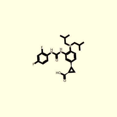 CC(C)CN(CC(C)C)c1ccc([C@H]2C[C@H]2C(=O)O)cc1NC(=O)Nc1ccc(F)cc1F